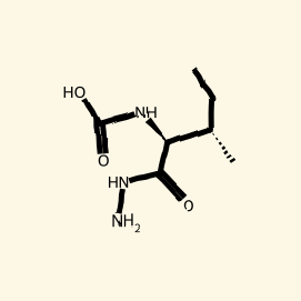 CC[C@H](C)[C@H](NC(=O)O)C(=O)NN